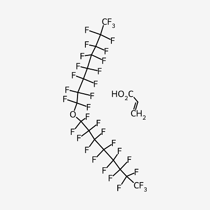 C=CC(=O)O.FC(F)(F)C(F)(F)C(F)(F)C(F)(F)C(F)(F)C(F)(F)C(F)(F)C(F)(F)OC(F)(F)C(F)(F)C(F)(F)C(F)(F)C(F)(F)C(F)(F)C(F)(F)C(F)(F)F